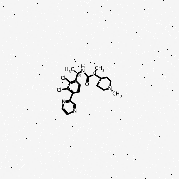 C[C@@H](NC(=O)N(C)C1CCN(C)CC1)c1ccc(-c2cnccn2)c(Cl)c1Cl